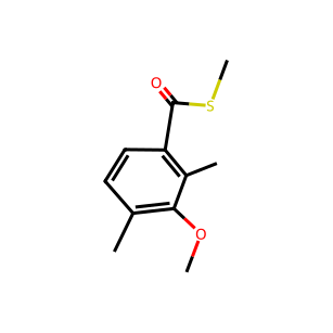 COc1c(C)ccc(C(=O)SC)c1C